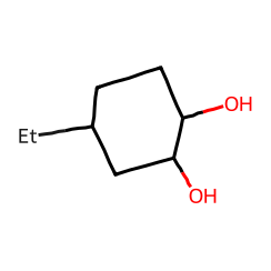 CCC1CCC(O)C(O)C1